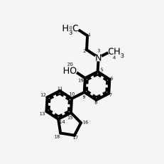 CCCN(C)c1cccc(-c2cccc3c2CCC3)c1O